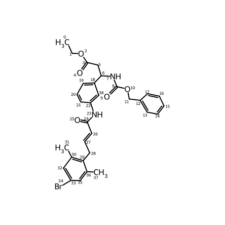 CCOC(=O)CC(NC(=O)OCc1ccccc1)c1cccc(NC(=O)/C=C/Cc2c(C)cc(Br)cc2C)c1